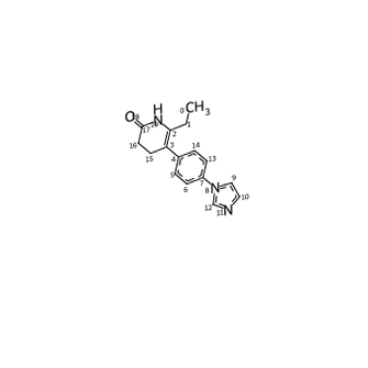 CCC1=C(c2ccc(-n3ccnc3)cc2)CCC(=O)N1